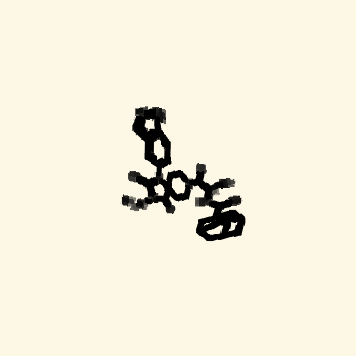 CC(C)[C@@H](NC(=O)C12CC3CC(CC(C3)C1)C2)C(=O)N1CCC2(CC1)C(=O)N(C)C(=O)N2c1ccc2[nH]ncc2c1